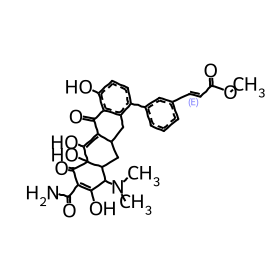 COC(=O)/C=C/c1cccc(-c2ccc(O)c3c2CC2CC4C(N(C)C)C(O)=C(C(N)=O)C(=O)C4(O)C(O)=C2C3=O)c1